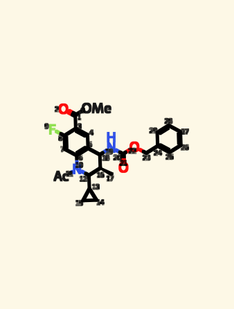 COC(=O)c1cc2c(cc1F)N(C(C)=O)C(C1CC1)[C@H](C)C2NC(=O)OCc1ccccc1